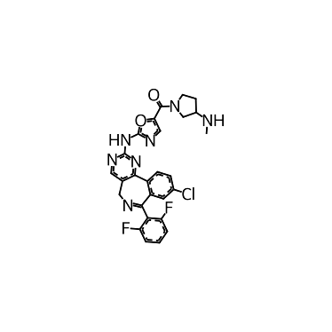 CNC1CCN(C(=O)c2cnc(Nc3ncc4c(n3)-c3ccc(Cl)cc3C(c3c(F)cccc3F)=NC4)o2)C1